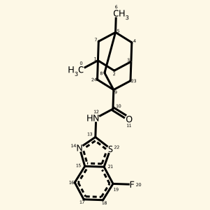 CC12CC3CC(C)(C1)CC(C(=O)Nc1nc4cccc(F)c4s1)(C3)C2